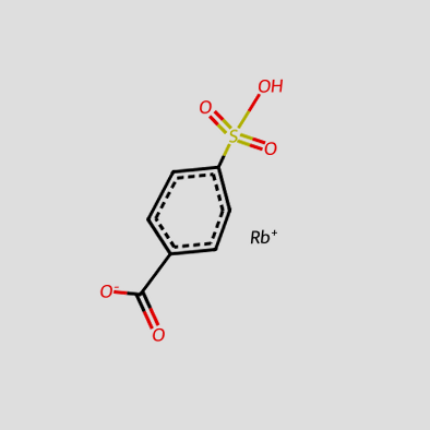 O=C([O-])c1ccc(S(=O)(=O)O)cc1.[Rb+]